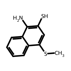 CSc1cc(S)c(N)c2ccccc12